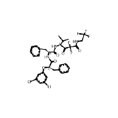 CC(C)[C@H](NC(=O)[C@H](Cc1ccccc1)NC(=O)[C@@H](Cc1ccccc1)Oc1cc(Cl)cc(Cl)c1)C(=O)C(F)(F)C(=O)NCC(F)(F)F